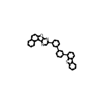 c1cc(-c2cccc(-c3cccc4c3sc3ccccc34)c2)cc(-c2cnc3c(n2)oc2ccc4ccccc4c23)c1